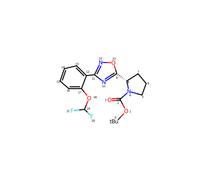 CC(C)(C)OC(=O)N1CCC[C@H]1c1nc(-c2ccccc2OC(F)F)no1